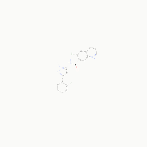 Cn1nc(-c2ccccc2Cl)cc1NC(=O)c1cc2ncccc2cc1Cl